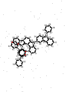 c1ccc(-c2cc(-c3cccc4c3c3c(ccc5c6ccccc6n(-c6ccccc6)c53)n4-c3ccc4c(c3)c3ccccc3n4-c3ccccc3)nc(-c3ccccc3)n2)cc1